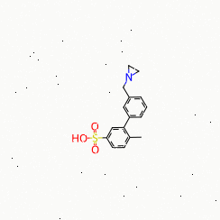 Cc1ccc(S(=O)(=O)O)cc1-c1cccc(CN2CC2)c1